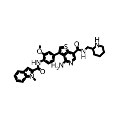 COc1cc(-c2csc3c(C(=O)NCC4CCCCN4)cnc(N)c23)ccc1NC(=O)c1cc2ccccc2n1C